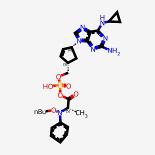 CCCCON(c1ccccc1)[C@@H](C)C(=O)OP(=O)(O)OC[C@@H]1C=C[C@H](n2cnc3c(NC4CC4)nc(N)nc32)C1